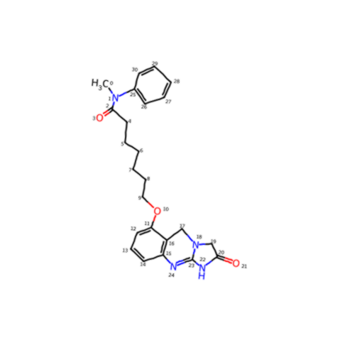 CN(C(=O)CCCCCCOc1cccc2c1CN1CC(=O)NC1=N2)c1ccccc1